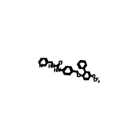 O=C(NCc1cccnc1)Nc1ccc(COc2ccc(OC(F)(F)F)cc2-c2ccccc2)cc1